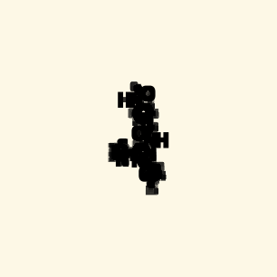 CC(=O)NC1CCN(CC(=O)Nc2cc(-c3nccs3)nc(-c3ccc(C)o3)n2)CC1